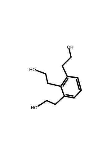 OCCc1cccc(CCO)c1CCO